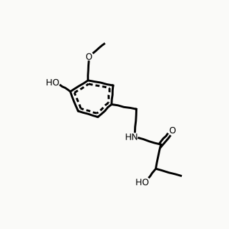 COc1cc(CNC(=O)C(C)O)ccc1O